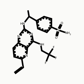 C=Cc1ccc2nc(NC(C)c3ccc(S(N)(=O)=O)cc3)nc(NCC(F)(F)F)c2n1